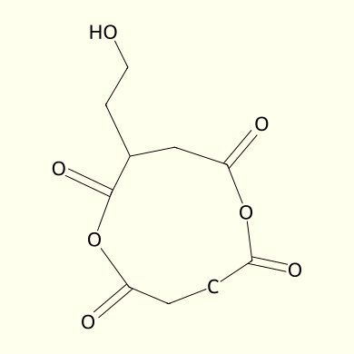 O=C1CCC(=O)OC(=O)C(CCO)CC(=O)O1